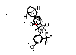 CC(C)(Oc1ccc(Cl)cc1C(F)(F)F)C(=O)N[C@H]1C[C@H]2CC[C@@H](C1)N2c1ccc(S(C)(=O)=O)nc1